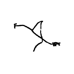 CC(C)C1(C)CC1F